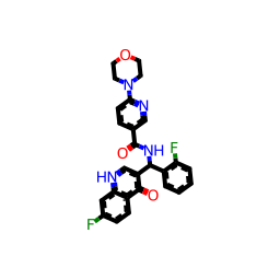 O=C(NC(c1ccccc1F)c1c[nH]c2cc(F)ccc2c1=O)c1ccc(N2CCOCC2)nc1